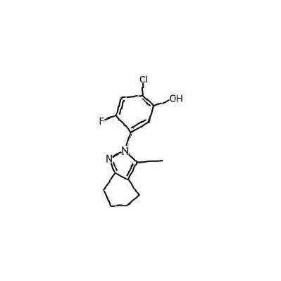 Cc1c2c(nn1-c1cc(O)c(Cl)cc1F)CCCC2